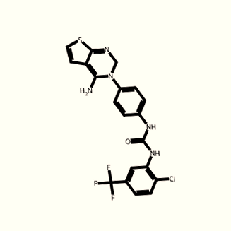 NC1=c2ccsc2=NCN1c1ccc(NC(=O)Nc2cc(C(F)(F)F)ccc2Cl)cc1